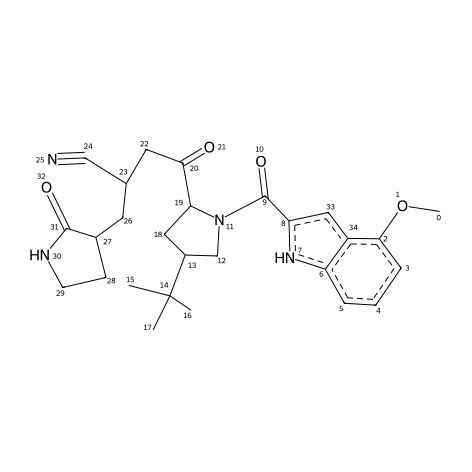 COc1cccc2[nH]c(C(=O)N3CC(C(C)(C)C)CC3C(=O)CC(C#N)CC3CCNC3=O)cc12